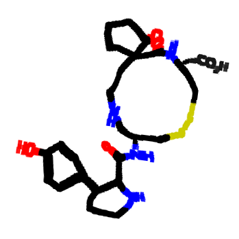 O=C(N[C@@H]1CNCCC2(CCCC2=O)C(=O)N[C@H](C(=O)O)CSSC1)C1NCCC1c1ccc(O)cc1